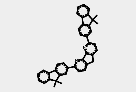 CC1(C)c2ccccc2-c2ccc(-c3ccc4c(n3)-c3nc(-c5ccc6c(c5)C(C)(C)c5ccccc5-6)ccc3C4)cc21